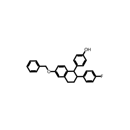 Oc1ccc(C2c3ccc(OCc4ccccc4)cc3CCC2c2ccc(F)cc2)cc1